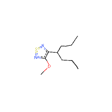 CCCC(CCC)c1nsnc1OC